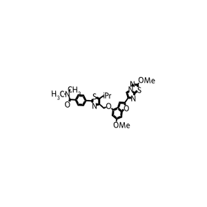 COc1cc(OCc2nc(-c3ccc(C(=O)N(C)C)cc3)sc2C(C)C)c2cc(-c3cn4nc(OC)sc4n3)oc2c1